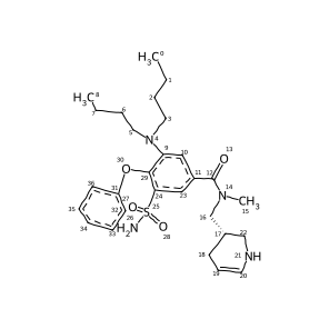 CCCCN(CCCC)c1cc(C(=O)N(C)C[C@H]2CC=CNC2)cc(S(N)(=O)=O)c1Oc1ccccc1